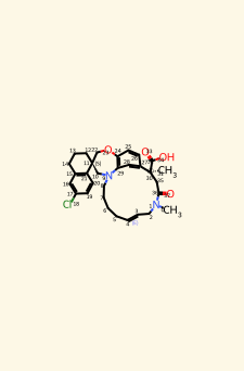 CN1C/C=C/CCCCN2C[C@@]3(CCCc4cc(Cl)ccc43)COc3ccc(cc32)[C@@](C)(C(=O)O)CC1=O